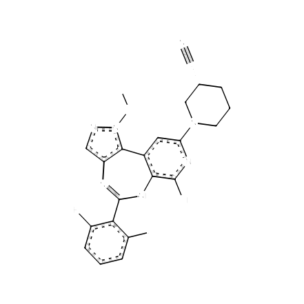 CPn1ncc2c1-c1cc(N3CCC[C@@H](C#N)C3)nc(C)c1NC(c1c(F)cccc1F)=N2